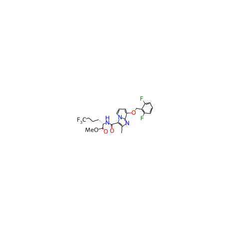 COC(=O)[C@H](CCCC(F)(F)F)NC(=O)c1c(C)nc2c(OCc3c(F)cccc3F)cccn12